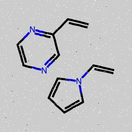 C=Cc1cnccn1.C=Cn1cccc1